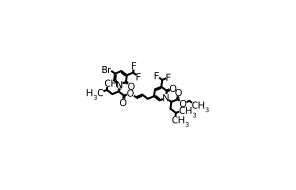 CCOC(=O)C(CC(C)C)n1cc(C/C=C/OC(=O)C(CC(C)C)n2cc(Br)cc(C(F)F)c2=O)cc(C(F)F)c1=O